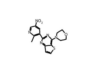 Cc1ncc([N+](=O)[O-])cc1-c1nc(N2CCOCC2)c2sccc2n1